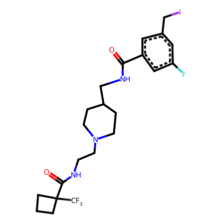 O=C(NCC1CCN(CCNC(=O)C2(C(F)(F)F)CCC2)CC1)c1cc(F)cc(CI)c1